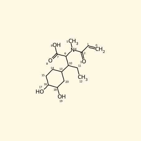 C=CC(=O)N(C)C(C(=O)O)C(CC)C1CCC(O)C(O)C1